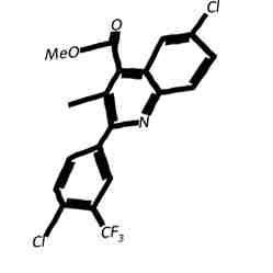 COC(=O)c1c(C)c(-c2ccc(Cl)c(C(F)(F)F)c2)nc2ccc(Cl)cc12